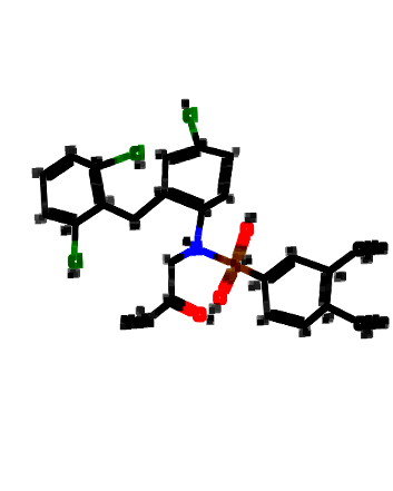 CNC(=O)CN(c1ccc(Cl)cc1Cc1c(Cl)cccc1Cl)S(=O)(=O)c1ccc(OC)c(OC)c1